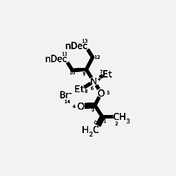 C=C(C)C(=O)O[N+](CC)(CC)C(CCCCCCCCCCC)CCCCCCCCCCC.[Br-]